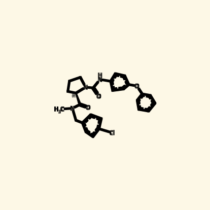 CN(Cc1ccc(Cl)cc1)C(=O)[C@H]1CCCN1C(=O)Nc1ccc(Oc2ccccc2)cc1